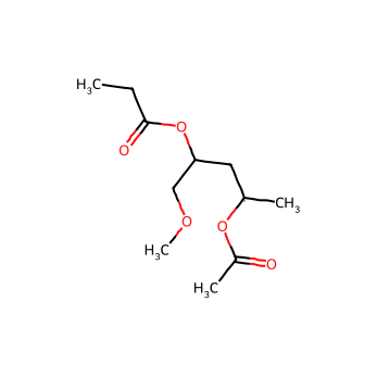 CCC(=O)OC(COC)C[C](C)OC(C)=O